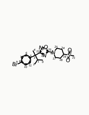 CC(C)C(C)(c1ccc(Br)cc1)c1noc(N2CCC(S(C)(=O)=O)CC2)n1